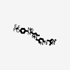 Cc1nn(C)cc1CN(C)c1ccc(Cn2nc(-c3nc(-c4ccc(OC(F)(F)F)cc4)no3)cc2C)cn1